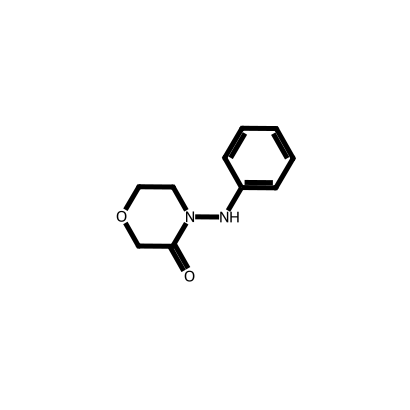 O=C1COCCN1Nc1ccccc1